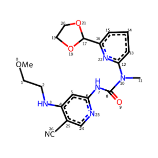 COCCNc1cc(NC(=O)N(C)c2cccc(C3OCCO3)n2)ncc1C#N